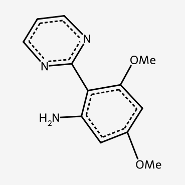 COc1cc(N)c(-c2ncccn2)c(OC)c1